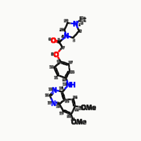 CCN1CCN(C(=O)COc2ccc(Nc3ncnc4cc(OC)c(OC)cc34)cc2)CC1